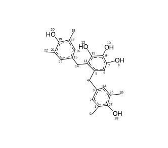 Cc1cc(Cc2cc(O)c(O)c(O)c2Cc2cc(C)c(O)c(C)c2)cc(C)c1O